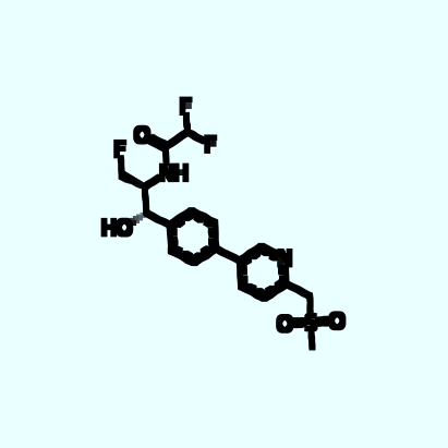 CS(=O)(=O)Cc1ccc(-c2ccc([C@H](O)[C@@H](CF)NC(=O)C(F)F)cc2)cn1